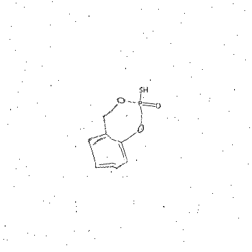 O=P1(S)OCc2ccccc2O1